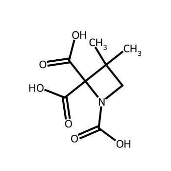 CC1(C)CN(C(=O)O)C1(C(=O)O)C(=O)O